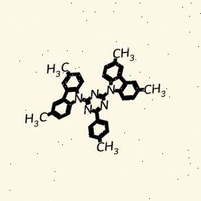 Cc1ccc(-c2nc(-n3c4ccc(C)cc4c4cc(C)ccc43)nc(-n3c4ccc(C)cc4c4cc(C)ccc43)n2)cc1